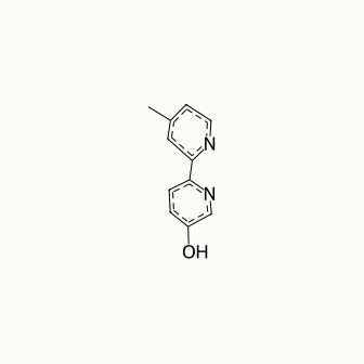 Cc1ccnc(-c2ccc(O)cn2)c1